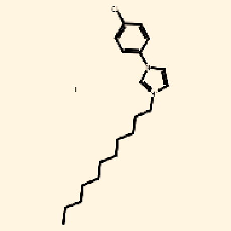 CCCCCCCCCCC[n+]1ccn(-c2ccc(Cl)cc2)c1.[I-]